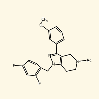 CC(=O)N1CCc2c(c(-c3cccc(OC(F)(F)F)c3)nn2Cc2ccc(F)cc2F)C1